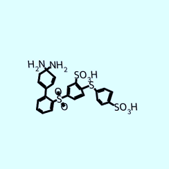 NC1(N)C=CC(c2ccccc2S(=O)(=O)c2ccc(Sc3ccc(S(=O)(=O)O)cc3)c(S(=O)(=O)O)c2)=CC1